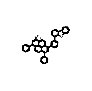 Cc1cc(-c2ccccc2)c2ccc3c(-c4ccccc4)cc(-c4cccc(-c5cccc6c5oc5ccccc56)c4)c4ccc1c2c34